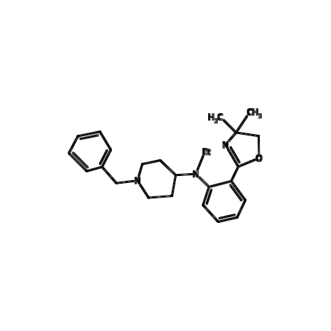 CCN(c1ccccc1C1=NC(C)(C)CO1)C1CCN(Cc2ccccc2)CC1